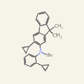 CC1(C)c2ccccc2-c2cc(C3CC3)c(N(c3ccccc3C3CC3)C(C)(C)C)cc21